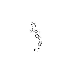 CCCCOC(=O)C(O)Cc1ccc(OCCc2ccc(CC)cn2)cc1